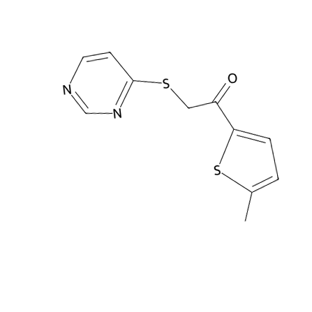 Cc1ccc(C(=O)CSc2ccncn2)s1